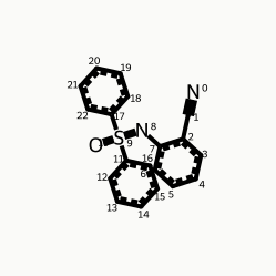 N#Cc1ccccc1N=S(=O)(c1ccccc1)c1ccccc1